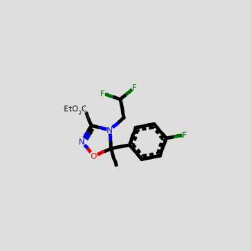 CCOC(=O)C1=NOC(C)(c2ccc(F)cc2)N1CC(F)F